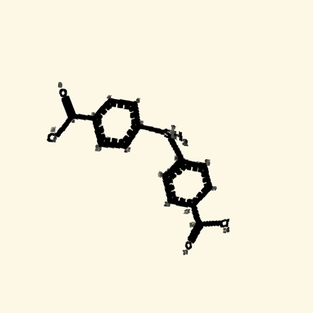 O=C(Cl)c1ccc([SiH2]c2ccc(C(=O)Cl)cc2)cc1